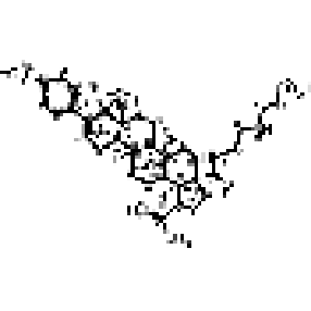 C=C(C)[C@@H]1CC[C@]2(C(=O)NCCNCCC(=O)O)CC[C@]3(C)[C@H](CC[C@@H]4[C@@]5(C)CC=C(c6ccc(C(=O)O)cc6)C(C)(C)[C@@H]5CC[C@]43C)[C@@H]12